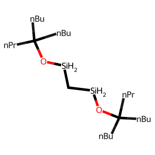 CCCCC(CCC)(CCCC)O[SiH2]C[SiH2]OC(CCC)(CCCC)CCCC